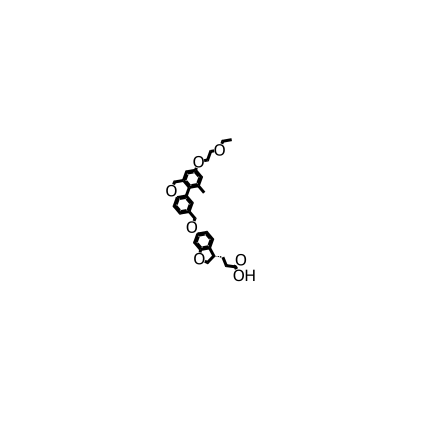 CCOCCOc1cc(C)c2c(c1)COc1ccc(COc3ccc4c(c3)OC[C@H]4CCC(=O)O)cc1-2